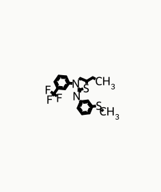 CCC1CN(c2cccc(C(F)(F)F)c2)C(=Nc2cccc(SC)c2)S1